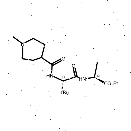 CCOC(=O)[C@H](C)NC(=O)[C@@H](NC(=O)C1CCN(C)CC1)C(C)(C)C